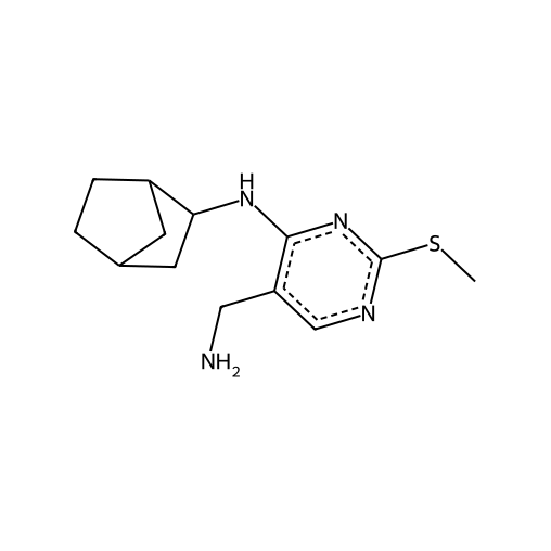 CSc1ncc(CN)c(NC2CC3CCC2C3)n1